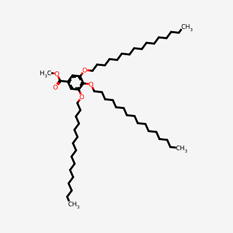 CCCCCCCCCCCCCCCCOc1cc(C(=O)OC)cc(OCCCCCCCCCCCCCCCC)c1OCCCCCCCCCCCCCCCC